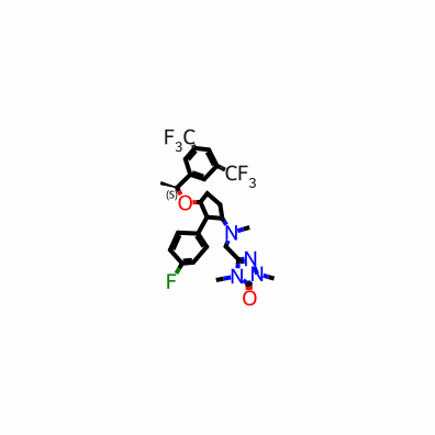 C[C@H](OC1CCC(N(C)Cc2nn(C)c(=O)n2C)C1c1ccc(F)cc1)c1cc(C(F)(F)F)cc(C(F)(F)F)c1